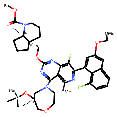 COCOc1cc(-c2nc(OC)c3c(N4CCOC[C@@](C)(O[Si](C)(C)C(C)(C)C)C4)nc(OC[C@]45CCC[C@H]4N(C(=O)OC(C)(C)C)CCC5)nc3c2F)c2c(F)cccc2c1